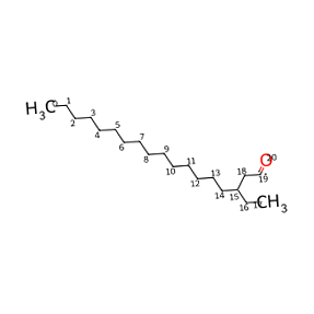 CCCCCCCCCCCCCCCC(CC)C[C]=O